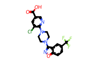 O=C(O)c1cnc(N2CCN(c3noc4ccc(C(F)(F)F)cc34)CC2)c(Cl)c1